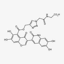 O=C(O)CNC(=O)Cn1cc(COC(=O)c2c(O)c(O)cc3occ(-c4cc5cc(O)c(O)cc5[nH]c4=O)c(=O)c23)nn1